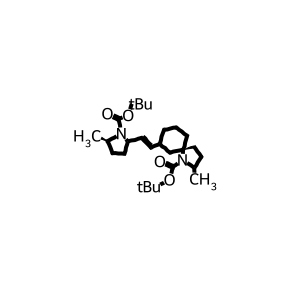 CC1CC[C@@]2(CCCC(/C=C/C3CC[C@@H](C)N3C(=O)OC(C)(C)C)C2)N1C(=O)OC(C)(C)C